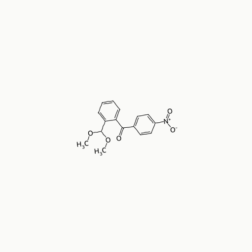 COC(OC)c1ccccc1C(=O)c1ccc([N+](=O)[O-])cc1